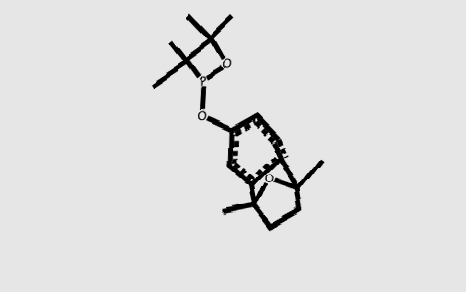 CC12CCC(C)(O1)c1cc(OP3OC(C)(C)C3(C)C)ccc12